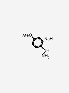 COc1ccc(NN)cc1.[NaH]